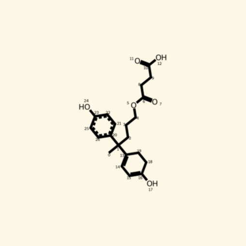 CC(CCCOC(=O)CCC(=O)O)(C1=CC=C(O)CC1)c1ccc(O)cc1